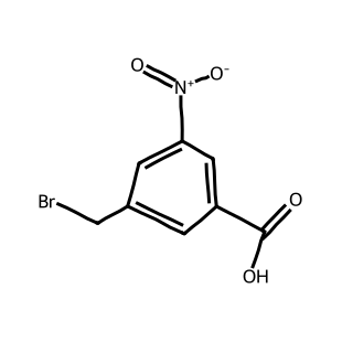 O=C(O)c1cc(CBr)cc([N+](=O)[O-])c1